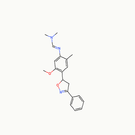 COc1cc(N=CN(C)C)c(C)cc1C1CC(c2ccccc2)=NO1